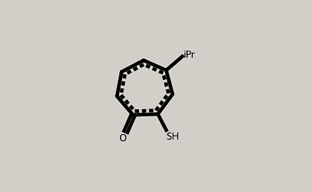 CC(C)c1cccc(=O)c(S)c1